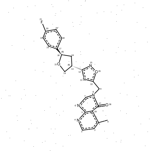 Cc1ccnc2ncn(Cc3nc([C@@H]4CO[C@@H](c5ccc(F)cc5)C4)no3)c(=O)c12